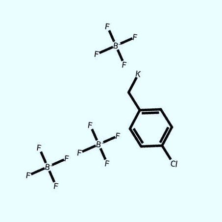 Clc1ccc([CH2][K])cc1.F[B-](F)(F)F.F[B-](F)(F)F.F[B-](F)(F)F